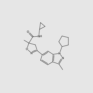 Cc1nn(C2CCCC2)c2cc(C3=NOC(C)(C(=O)NC4CC4)C3)ccc12